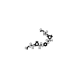 CC1(C)CC(NC(=O)Oc2ccc(OC(=O)NC3CC(C)(C)CC(C)(CNC(=O)OCC4CO4)C3)cc2)CC(C)(CNC(=O)OCC2CO2)C1